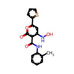 Cc1ccccc1NC(=O)c1c(NO)cc(-c2cccs2)oc1=O